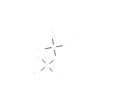 B.O[Si](O)(O)O[Si](O)(O)O.[AlH3].[BaH2]